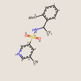 COc1ccccc1C(NS(=O)(=O)c1cncc(C#N)c1)C(F)(F)F